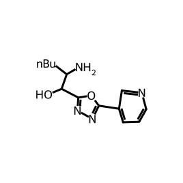 CCCCC(N)C(O)c1nnc(-c2cccnc2)o1